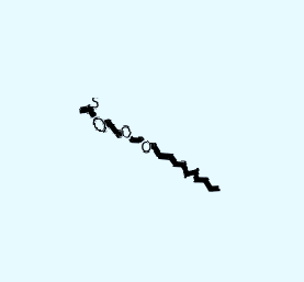 CCCCCCCCCCCOCCOCCOC(C)=S